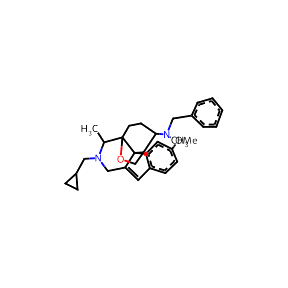 COc1ccc2c(c1)C13C(=C2)CN(CC2CC2)C(C)C12CCC(N(C)Cc1ccccc1)C3CO2